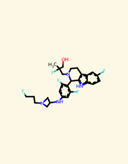 CC(F)(CO)CN1CCc2c([nH]c3ccc(F)cc23)C1c1c(F)cc(NC2CN(CCCF)C2)cc1F